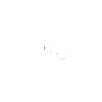 CCCCOC(=O)N1CC2(CCNCC2)C1.Cl